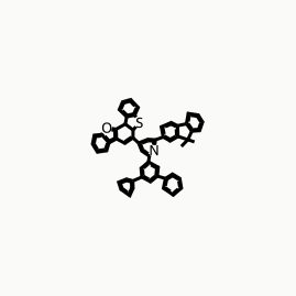 CC1(C)c2ccccc2-c2ccc(-c3cc(C4=Cc5c(oc6ccccc56)C5c6ccccc6SC45)cc(-c4cc(-c5ccccc5)cc(-c5ccccc5)c4)n3)cc21